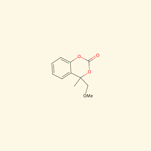 COCC1(C)OC(=O)Oc2ccccc21